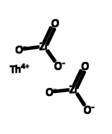 [O]=[Zr]([O-])[O-].[O]=[Zr]([O-])[O-].[Th+4]